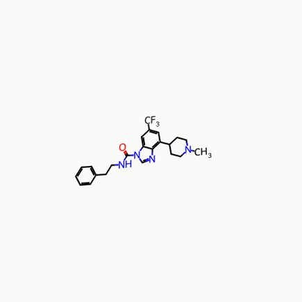 CN1CCC(c2cc(C(F)(F)F)cc3c2ncn3C(=O)NCCc2ccccc2)CC1